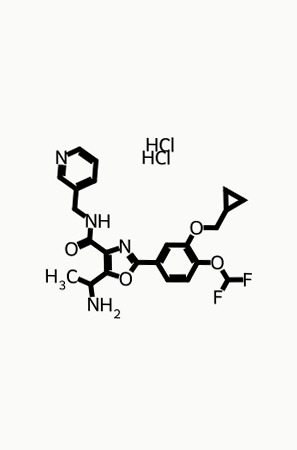 CC(N)c1oc(-c2ccc(OC(F)F)c(OCC3CC3)c2)nc1C(=O)NCc1cccnc1.Cl.Cl